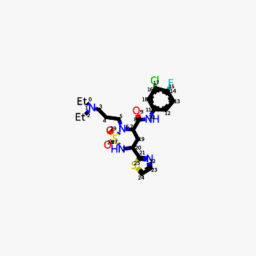 CCN(CC)CCCN1C(C(=O)Nc2ccc(F)c(Cl)c2)CC(c2nccs2)NS1(=O)=O